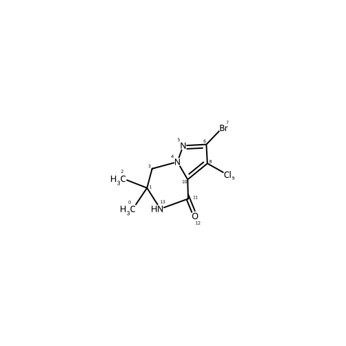 CC1(C)Cn2nc(Br)c(Cl)c2C(=O)N1